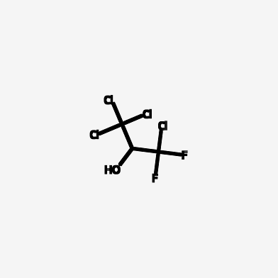 OC(C(F)(F)Cl)C(Cl)(Cl)Cl